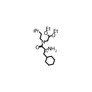 CCOC(CN(CCC(C)C)C(=O)[C@@H](N)CC1CCCCC1)OCC